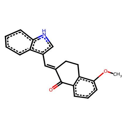 COc1cccc2c1CC/C(=C\c1c[nH]c3ccccc13)C2=O